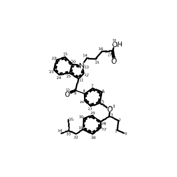 CCCC(Oc1ccc(C(=O)c2cn(CCCC(=O)O)c3ccccc23)cc1)c1ccc(CC(C)C)cc1